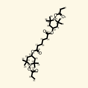 CCC(=O)ON1C(C)(C)CC(OC(=O)CCCCC(=O)OC2CC(C)(C)N(OC(=O)CC)C(C)(C)C2)CC1(C)C